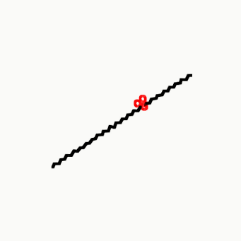 CCCCCCCCCCCCCCCCCCCCCCCCCCCCCC(=O)OC(=O)CCCCCCCCCCCCCCC